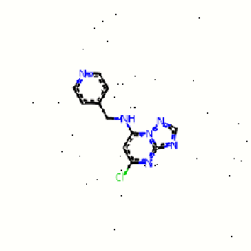 Clc1cc(NCc2ccncc2)n2ncnc2n1